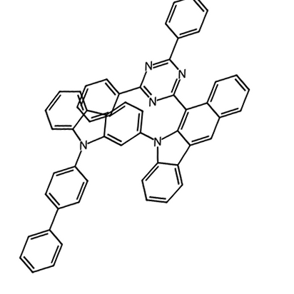 c1ccc(-c2ccc(-n3c4ccccc4c4ccc(-n5c6ccccc6c6cc7ccccc7c(-c7nc(-c8ccccc8)nc(-c8ccccc8)n7)c65)cc43)cc2)cc1